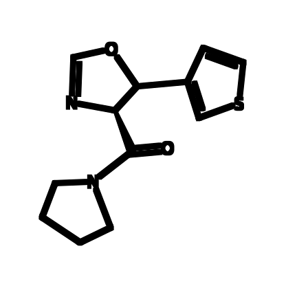 O=C([C@H]1N=COC1c1ccsc1)N1CCCC1